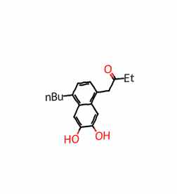 CCCCc1ccc(CC(=O)CC)c2cc(O)c(O)cc12